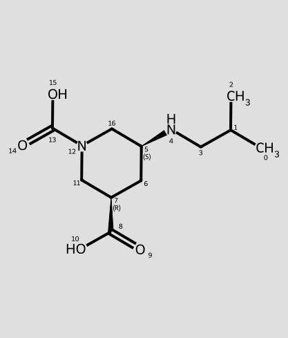 CC(C)CN[C@H]1C[C@@H](C(=O)O)CN(C(=O)O)C1